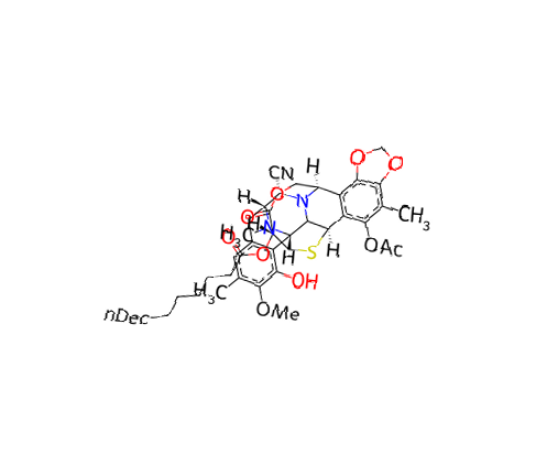 CCCCCCCCCCCCCCCC(=O)O[C@H]1CS[C@@H]2c3c(OC(C)=O)c(C)c4c(c3[C@H](COC1=O)N1C2[C@@H]2c3c(cc(C)c(OC)c3O)C[C@H]([C@@H]1C#N)N2C)OCO4